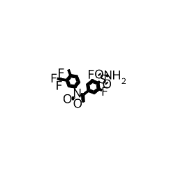 Cc1ccc(-n2c(-c3cc(F)c(S(N)(=O)=O)c(F)c3)coc2=O)cc1C(F)(F)F